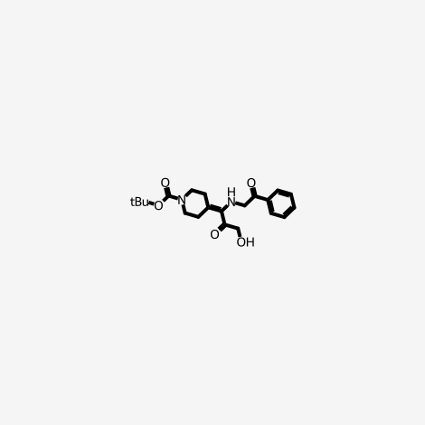 CC(C)(C)OC(=O)N1CCC(=C(NCC(=O)c2ccccc2)C(=O)CO)CC1